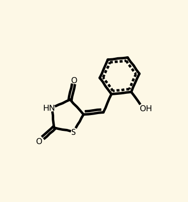 O=C1NC(=O)/C(=C\c2ccccc2O)S1